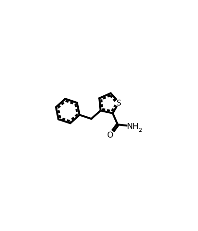 NC(=O)c1sccc1Cc1ccccc1